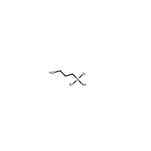 CC[Si](S)(CC)CCCO